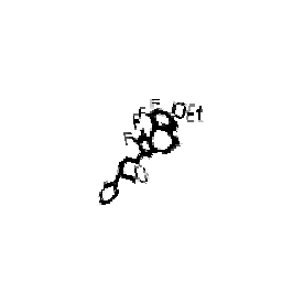 CCOc1cc2c(c(F)c1F)-c1c(cc(C3CC=C(C4CCCCC4)CO3)c(F)c1F)CC2